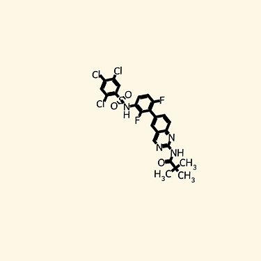 CC(C)(C)C(=O)Nc1ncc2cc(-c3c(F)ccc(NS(=O)(=O)c4cc(Cl)c(Cl)cc4Cl)c3F)ccc2n1